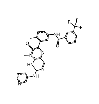 Cc1ccc(NC(=O)c2cccc(C(F)(F)F)c2)cc1-c1nc2c(n(C)c1=O)NC(Nc1cccnc1)N=C2